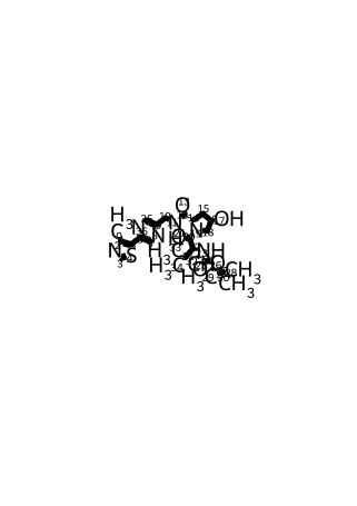 Cc1ncsc1-c1cnc(CNC(=O)[C@@H]2C[C@@H](O)CN2C(=O)[C@@H](NC(=O)OC(C)(C)C)C(C)(C)C)cn1